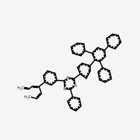 C=C/C=C(\C=C/C)c1cccc(-c2nc(-c3ccccc3)nc(-c3ccc(-c4c(-c5ccccc5)cc(-c5ccccc5)cc4-c4ccccc4)cc3)n2)c1